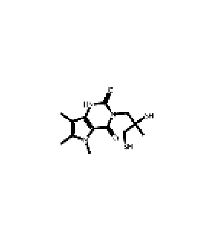 Cc1c(C)n(C)c2c(=O)n(CC(C)(S)CS)c(=O)[nH]c12